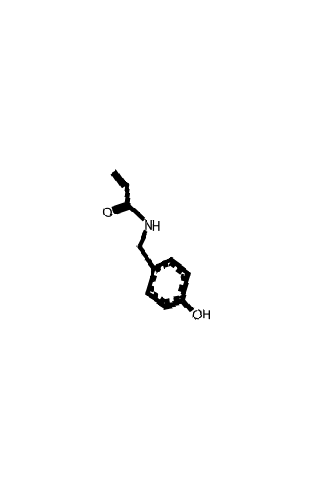 C=CC(=O)NCc1ccc(O)cc1